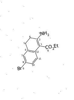 CCOC(=O)C1=C(N)CCc2cc(Br)ccc21